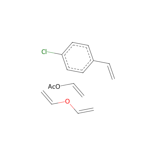 C=COC(C)=O.C=COC=C.C=Cc1ccc(Cl)cc1